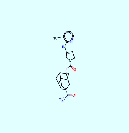 N#Cc1cccnc1N[C@H]1CCN(C(=O)O[C@H]2C3CC4CC2C[C@](C(N)=O)(C4)C3)C1